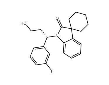 O=C1N([C@@H](CCO)c2cccc(F)c2)c2ccccc2C12CCCCC2